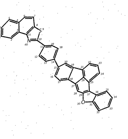 c1ccc2c(c1)ccc1sc(-c3ccc(-c4ccc5c(c4)-c4cccc6c4c-5cc4oc5ccccc5c46)cc3)nc12